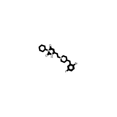 O=c1cc(CCN2CCC(Cc3cc(F)ccc3Br)CC2)[nH]c(=O)n1C1CCCCC1